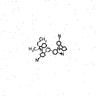 C=C/C=C\c1c(CC)n(-c2cc(C#N)ccc2C2C=C(c3ccc(C#N)c(-n4c5ccccc5c5cc(C#N)ccc54)c3)C=CC2)c2ccccc12